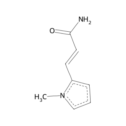 Cn1cccc1C=CC(N)=O